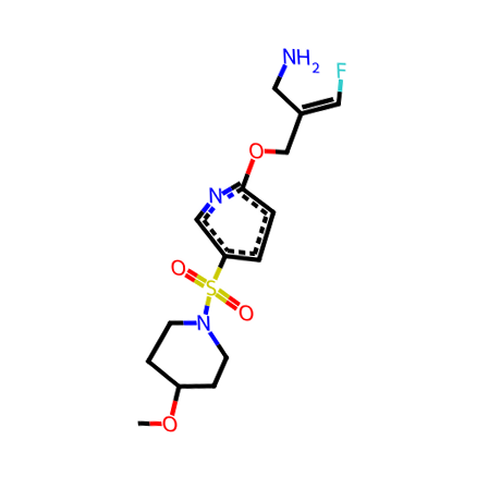 COC1CCN(S(=O)(=O)c2ccc(OC/C(=C/F)CN)nc2)CC1